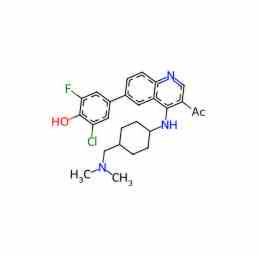 CC(=O)c1cnc2ccc(-c3cc(F)c(O)c(Cl)c3)cc2c1NC1CCC(CN(C)C)CC1